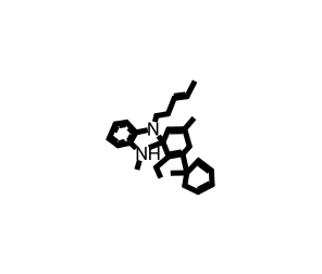 CC=CCCN(c1ccccc1NC)C1(C)C=C(C)CC(C2(C)C=CC=CC2)=C1CC